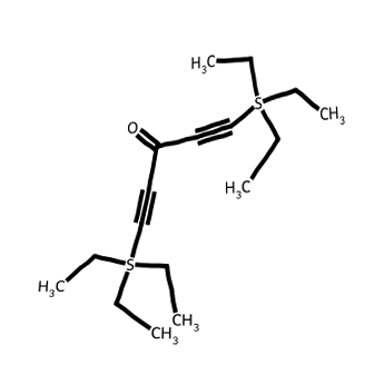 CCS(C#CC(=O)C#CS(CC)(CC)CC)(CC)CC